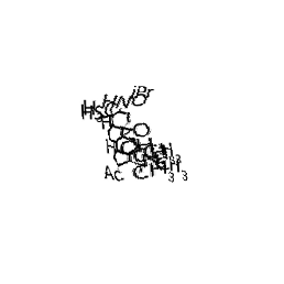 CC(=O)[C@@H]1C[C@@]2(C)[C@@H]3CC[C@H]4[C@](C)(CS)[C@@H](NC(=O)C(C)C)CC[C@@]45C[C@@]35C(=O)C[C@]2(C)[C@H]1[C@H](C)N(C)C